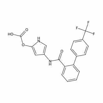 O=C(O)Oc1cc(NC(=O)c2ccccc2-c2ccc(C(F)(F)F)cc2)c[nH]1